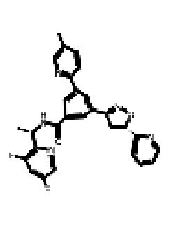 Cc1ccc(-c2cc(C(=O)N[C@H](C)c3ncc(F)cc3F)cc(C3=NO[C@H](c4ccccn4)C3)c2)nc1